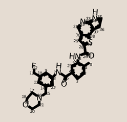 Cc1ccc(C(=O)Nc2cc(CF)cc(CN3CCOCC3)c2)cc1NC(=O)c1cc2cnc3[nH]ccc3c2s1